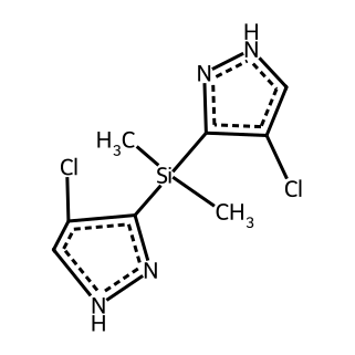 C[Si](C)(c1n[nH]cc1Cl)c1n[nH]cc1Cl